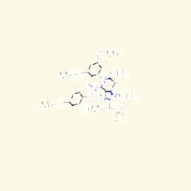 CCOCc1nc2c(N(Cc3ccc(OC)cc3OC)Cc3ccc(OC)cc3OC)nc(C)cc2n1C